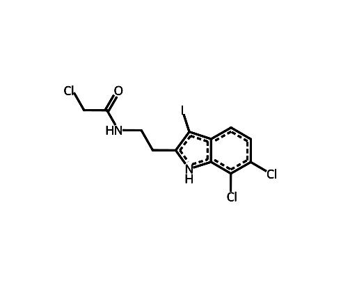 O=C(CCl)NCCc1[nH]c2c(Cl)c(Cl)ccc2c1I